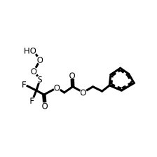 O=C(COC(=O)C(F)(F)SOOO)OCCc1ccccc1